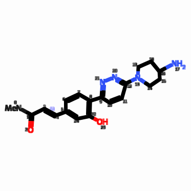 CNC(=O)/C=C/c1ccc(-c2ccc(N3CCC(N)CC3)nn2)c(O)c1